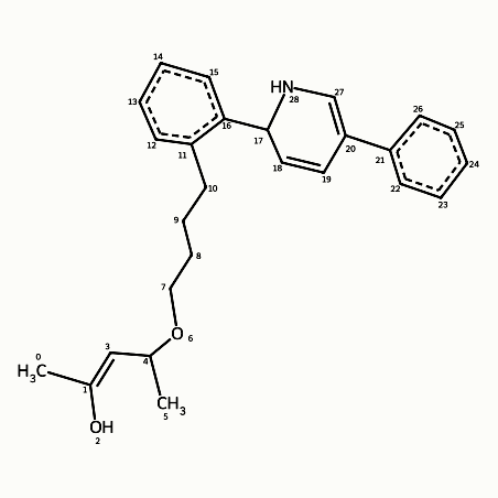 C/C(O)=C/C(C)OCCCCc1ccccc1C1C=CC(c2ccccc2)=CN1